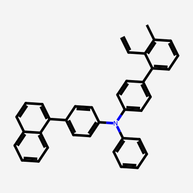 C=Cc1c(C)cccc1-c1ccc(N(c2ccccc2)c2ccc(-c3cccc4ccccc34)cc2)cc1